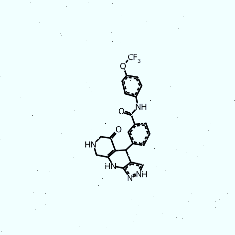 O=C1CNCC2=C1C(c1cccc(C(=O)Nc3ccc(OC(F)(F)F)cc3)c1)c1c[nH]nc1N2